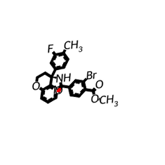 COC(=O)c1ccc(C(=O)N[C@]2(c3ccc(C)c(F)c3)CCOc3cccnc32)cc1Br